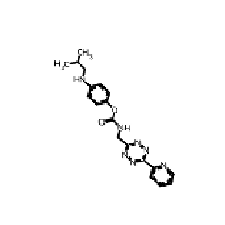 CC(C)CNc1ccc(OC(=O)NCc2nnc(-c3ccccn3)nn2)cc1